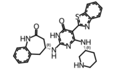 O=C1C[C@H](Nc2nc(N[C@@H]3CCCNC3)c(-c3nc4ccccc4s3)c(=O)[nH]2)Cc2ccccc2N1